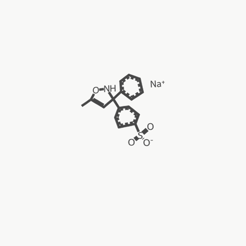 CC1=CC(c2ccccc2)(c2ccc(S(=O)(=O)[O-])cc2)NO1.[Na+]